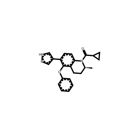 C[C@H]1CCc2c(ccc(-c3cn[nH]c3)c2Oc2ccccc2)N1C(=O)C1CC1